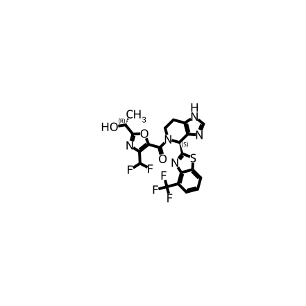 C[C@@H](O)c1nc(C(F)F)c(C(=O)N2CCc3[nH]cnc3[C@H]2c2nc3c(C(F)(F)F)cccc3s2)o1